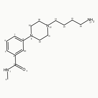 CNC(=O)c1cccc(N2CCN(CCCCN)CC2)c1